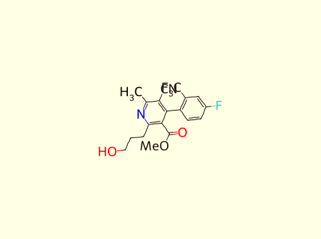 COC(=O)c1c(CCCO)nc(C)c(C#N)c1-c1ccc(F)cc1C(F)(F)F